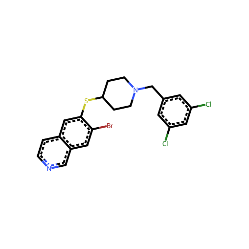 Clc1cc(Cl)cc(CN2CCC(Sc3cc4ccncc4cc3Br)CC2)c1